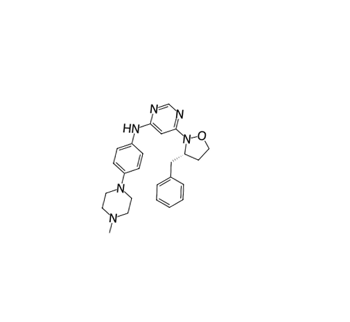 CN1CCN(c2ccc(Nc3cc(N4OCC[C@@H]4Cc4ccccc4)ncn3)cc2)CC1